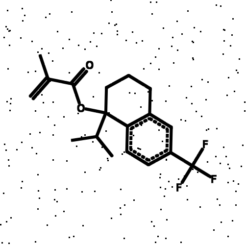 C=C(C)C(=O)OC1(C(C)C)CCCc2cc(C(F)(F)F)ccc21